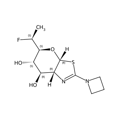 C[C@H](F)[C@H]1O[C@@H]2SC(N3CCC3)=N[C@@H]2[C@@H](O)[C@@H]1O